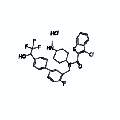 CNC1CCC(N(Cc2cc(-c3ccc(C(O)C(F)(F)F)cc3)ccc2F)C(=O)c2sc3ccccc3c2Cl)CC1.Cl